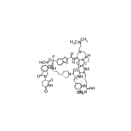 CN(C)CCN1CC[C@H]2CC[C@@H](C(=O)N[C@@H](CCCNC(=N)N)C(=O)N[C@@H](Cc3ccc(C(C)(C)C)cc3)C(=O)N3CCC(CCCNc4cccc5c4CN(C4CCC(=O)NC4=O)C5=O)CC3)N2C(=O)[C@@H](NC(=O)c2cc3cc(C(F)(F)OP(O)O)ccc3s2)C1